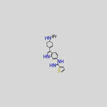 CC(C)NC1CC=C(c2c[nH]c3cc(NC(=N)c4cccs4)ccc23)CC1